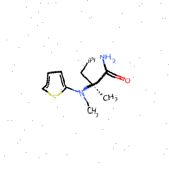 CC(C)C[C@@](C)(C(N)=O)N(C)c1cccs1